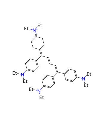 CCN(CC)c1ccc(C(=CC=CC(=C2CCC(=[N+](CC)CC)CC2)c2ccc(N(CC)CC)cc2)c2ccc(N(CC)CC)cc2)cc1